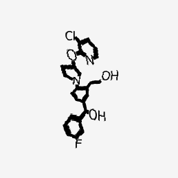 OCCc1cc(C(O)c2cccc(F)c2)ccc1N1CCC(Oc2ncccc2Cl)C1